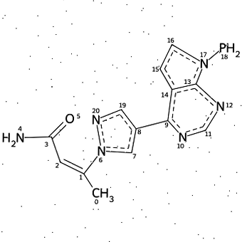 C/C(=C/C(N)=O)n1cc(-c2ncnc3c2ccn3P)cn1